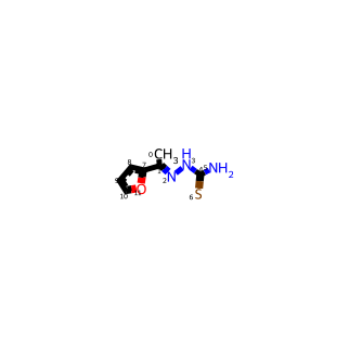 C/C(=N\NC(N)=S)c1ccco1